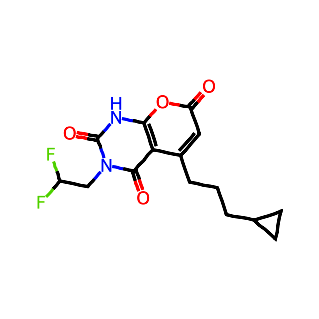 O=c1cc(CCCC2CC2)c2c(=O)n(CC(F)F)c(=O)[nH]c2o1